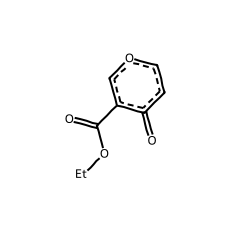 CCOC(=O)c1coccc1=O